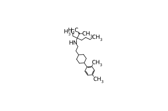 C=C(C)C(CC)(CCCC)NCCC1CCC(c2ccc(C)cc2C)CC1